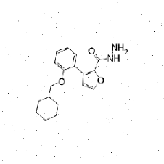 NNC(=O)c1occc1-c1ccccc1OCC1CCCCC1